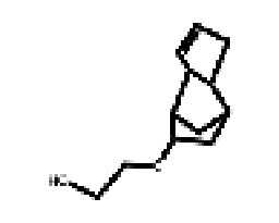 OCCOC1CC2CC1C1C=CCC21